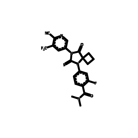 CN(C)C(=O)c1ccc(N2C(=S)N(c3cnc(C#N)c(C(F)(F)F)c3)C(=O)C23CCC3)cc1F